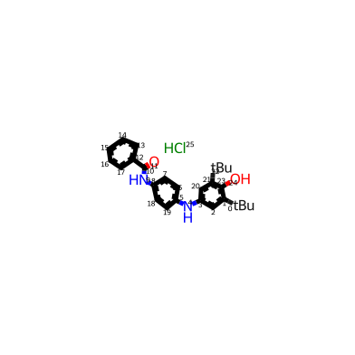 CC(C)(C)c1cc(Nc2ccc(NC(=O)c3ccccc3)cc2)cc(C(C)(C)C)c1O.Cl